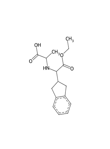 CCOC(=O)C(NC(C)C(=O)O)C1Cc2ccccc2C1